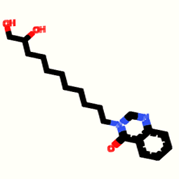 O=c1c2ccccc2ncn1CCCCCCCCCC(O)CO